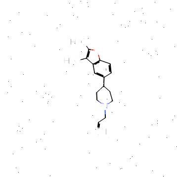 C=CCN1CCC(c2ccc3oc(C)c(C)c3c2)CC1